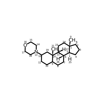 C[C@@]12CCC[C@H]1[C@@H]1CCC3CCC(N4CCOCC4)C[C@]3(C)[C@@H]1CC2